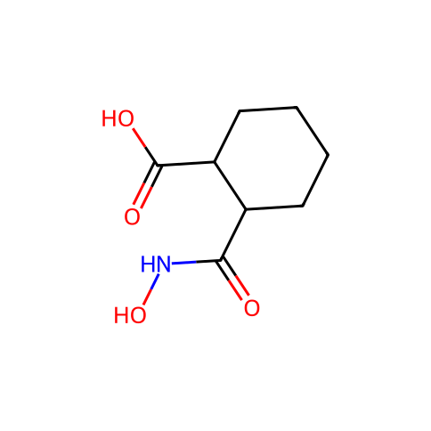 O=C(O)C1CCCCC1C(=O)NO